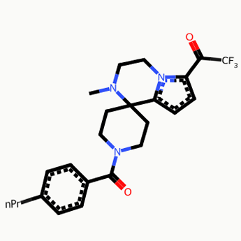 CCCc1ccc(C(=O)N2CCC3(CC2)c2ccc(C(=O)C(F)(F)F)n2CCN3C)cc1